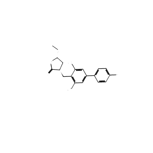 CC[C@@H]1C[C@@H](Cc2c(Cl)cc(-c3ccc(F)cc3)cc2Cl)C(=O)O1